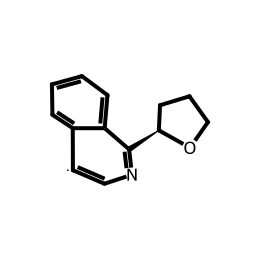 [c]1cnc([C@H]2CCCO2)c2ccccc12